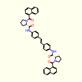 O=C(Nc1ccc(/C=C/c2ccc(NC(=O)[C@@H]3CCCN3C(=O)c3cccc4ccccc34)cc2)cc1)[C@@H]1CCCN1C(=O)c1cccc2ccccc12